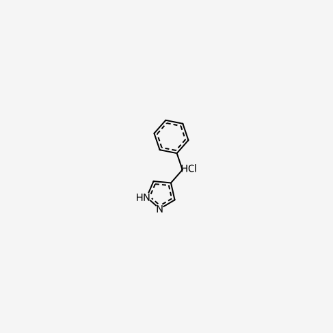 Cl.c1ccc(Cc2cn[nH]c2)cc1